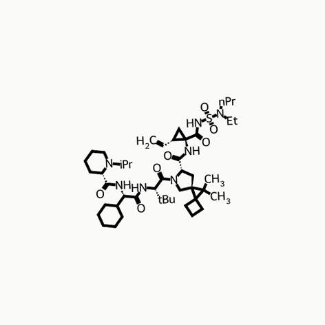 C=C[C@@H]1C[C@]1(NC(=O)[C@@H]1C[C@@]2(CN1C(=O)[C@@H](NC(=O)[C@@H](NC(=O)[C@@H]1CCCCN1C(C)C)C1CCCCC1)C(C)(C)C)C(C)(C)C21CCC1)C(=O)NS(=O)(=O)N(CC)CCC